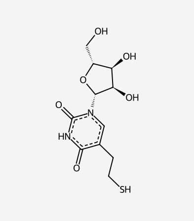 O=c1[nH]c(=O)n([C@@H]2O[C@H](CO)[C@@H](O)[C@H]2O)cc1CCS